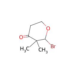 CC1(C)C(=O)CCOC1Br